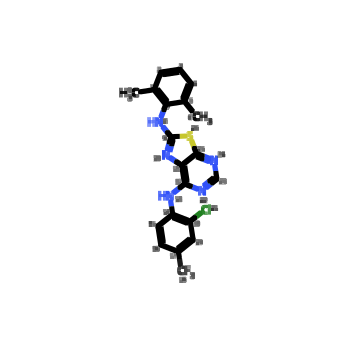 Cc1cccc(C)c1Nc1nc2c(Nc3ccc(C(F)(F)F)cc3Cl)ncnc2s1